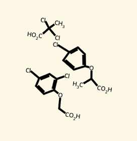 CC(Cl)(Cl)C(=O)O.CC(Oc1ccc(Cl)cc1)C(=O)O.O=C(O)COc1ccc(Cl)cc1Cl